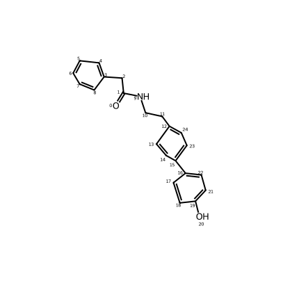 O=C(Cc1ccccc1)NCCc1ccc(-c2ccc(O)cc2)cc1